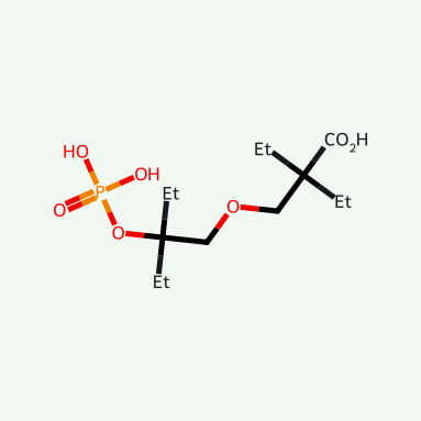 CCC(CC)(COCC(CC)(CC)C(=O)O)OP(=O)(O)O